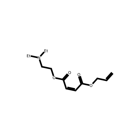 C=CCOC(=O)/C=C\C(=O)OCCN(CC)CC